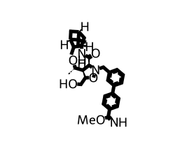 COC(=N)c1ccc(-c2cccc(CN3OC(CO)[C@@H]([C@H](C)O)[C@H]3C(=O)N[C@H]3C[C@@H]4C[C@H](C3C)C4(C)C)c2)cc1